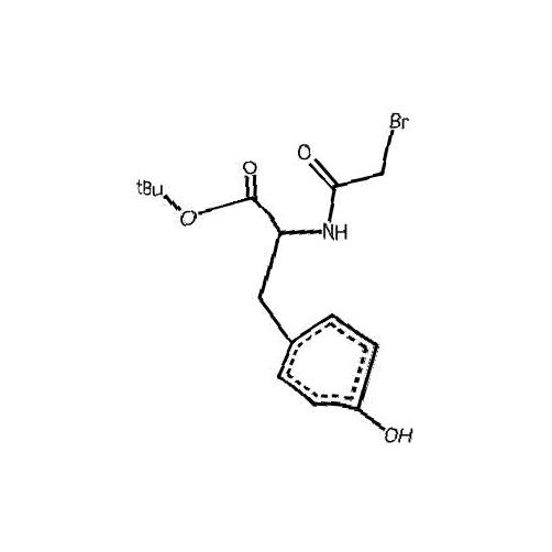 CC(C)(C)OC(=O)C(Cc1ccc(O)cc1)NC(=O)CBr